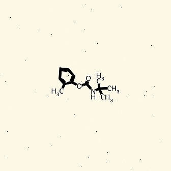 Cc1ccccc1OC(=O)NC(C)(C)C